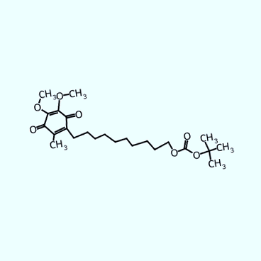 COC1=C(OC)C(=O)C(CCCCCCCCCCOC(=O)OC(C)(C)C)=C(C)C1=O